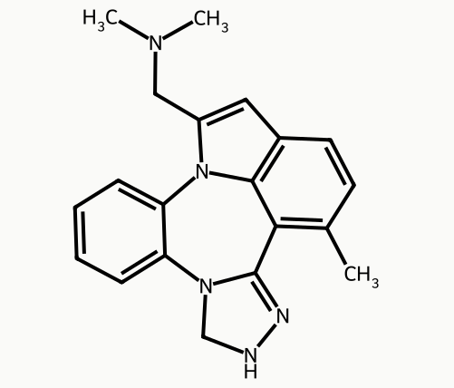 Cc1ccc2cc(CN(C)C)n3c4ccccc4n4c(c1c23)=NNC4